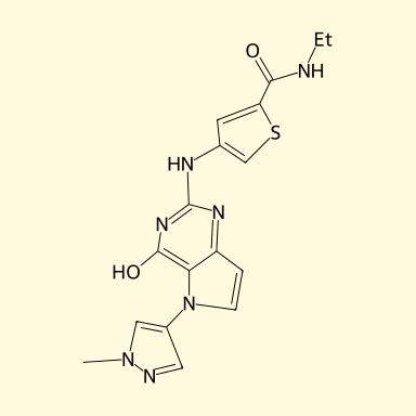 CCNC(=O)c1cc(Nc2nc(O)c3c(ccn3-c3cnn(C)c3)n2)cs1